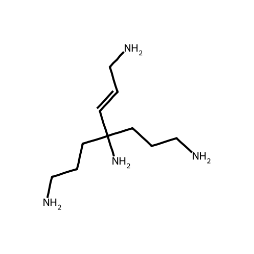 NCC=CC(N)(CCCN)CCCN